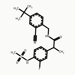 CC(C(=O)NCc1ccc(C(C)(C)C)cc1C#N)c1ccc(NS(C)(=O)=O)c(F)c1